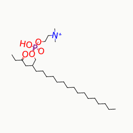 CCCCCCCCCCCCCCCCC(COP(=O)(O)OCC[N+](C)(C)C)CC(=O)CC